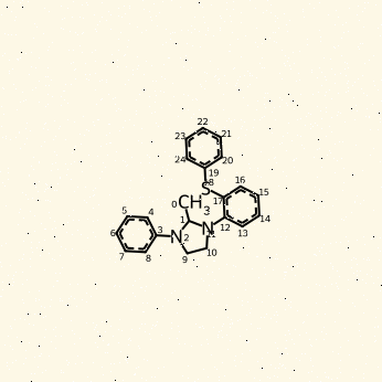 CC1N(c2ccccc2)CCN1c1ccccc1Sc1ccccc1